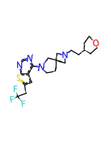 FC(F)(F)Cc1cc2c(N3CCC4(CN(CCC5CCOCC5)C4)C3)ncnc2s1